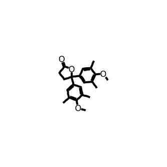 COc1c(C)cc(C2(c3cc(C)c(OC)c(C)c3)CCC(=O)O2)cc1C